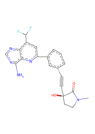 CN1CC[C@](O)(C#Cc2cccc(-c3cc(C(F)F)c4ncnc(N)c4n3)c2)C1=O